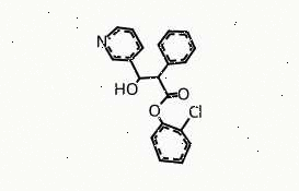 O=C(Oc1ccccc1Cl)C(c1ccccc1)C(O)c1cccnc1